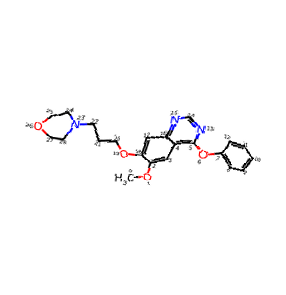 COc1cc2c(Oc3ccccc3)ncnc2cc1OCCCN1CCOCC1